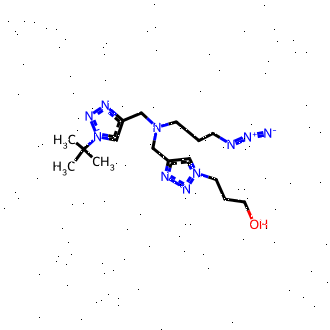 CC(C)(C)n1cc(CN(CCCN=[N+]=[N-])Cc2cn(CCCO)nn2)nn1